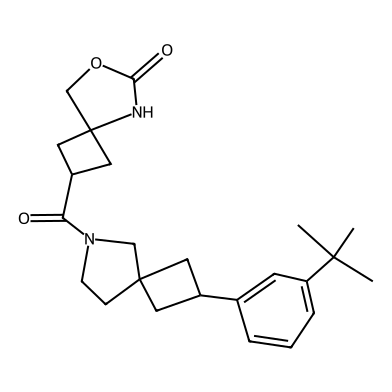 CC(C)(C)c1cccc(C2CC3(CCN(C(=O)C4CC5(COC(=O)N5)C4)C3)C2)c1